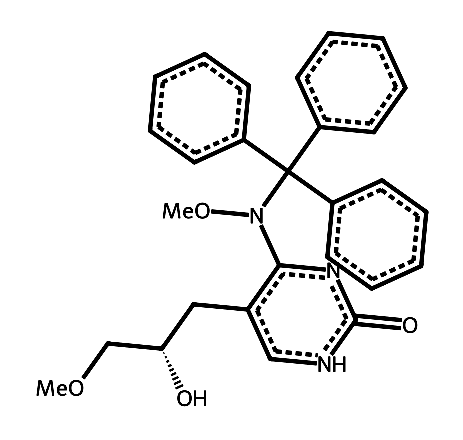 COC[C@@H](O)Cc1c[nH]c(=O)nc1N(OC)C(c1ccccc1)(c1ccccc1)c1ccccc1